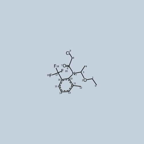 CCOC(C)N(C(=O)CCl)c1c(C)cccc1C(F)(F)F